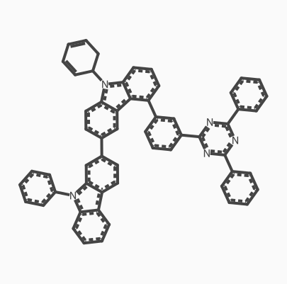 C1=CCC(n2c3ccc(-c4ccc5c6ccccc6n(-c6ccccc6)c5c4)cc3c3c(-c4cccc(-c5nc(-c6ccccc6)nc(-c6ccccc6)n5)c4)cccc32)C=C1